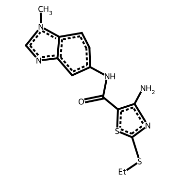 CCSc1nc(N)c(C(=O)Nc2ccc3c(c2)ncn3C)s1